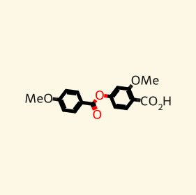 COc1ccc(C(=O)Oc2ccc(C(=O)O)c(OC)c2)cc1